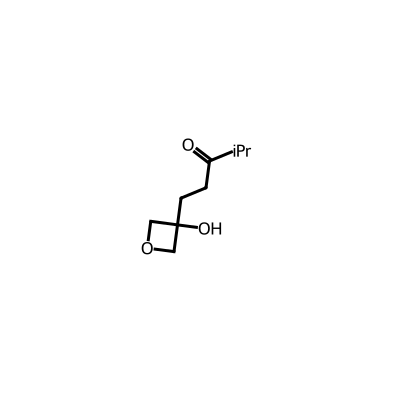 CC(C)C(=O)CCC1(O)COC1